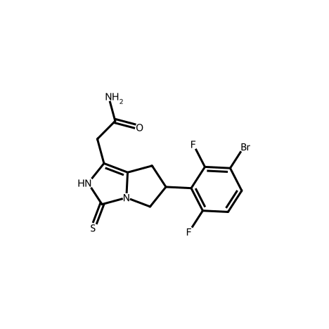 NC(=O)Cc1[nH]c(=S)n2c1CC(c1c(F)ccc(Br)c1F)C2